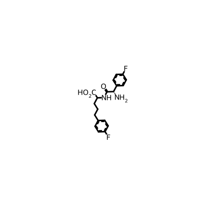 N[C@H](C(=O)NC(CCCc1ccc(F)cc1)C(=O)O)c1ccc(F)cc1